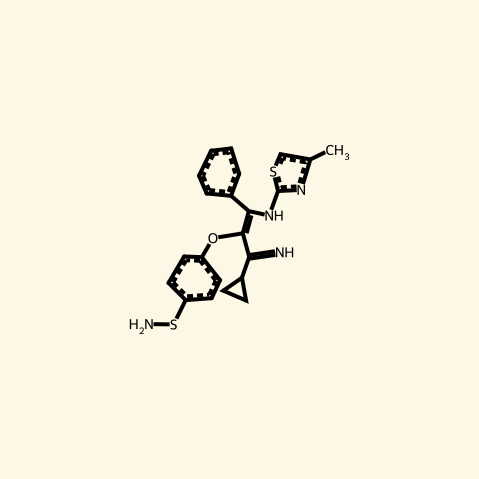 Cc1csc(N/C(=C(/Oc2ccc(SN)cc2)C(=N)C2CC2)c2ccccc2)n1